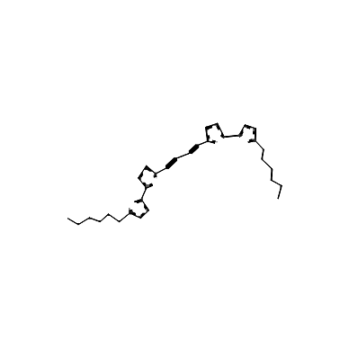 CCCCCCc1ccc(-c2ccc(C#CC#Cc3ccc(-c4ccc(CCCCCC)s4)s3)s2)s1